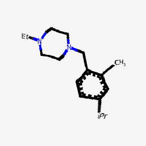 CCN1CCN(Cc2ccc(C(C)C)cc2C)CC1